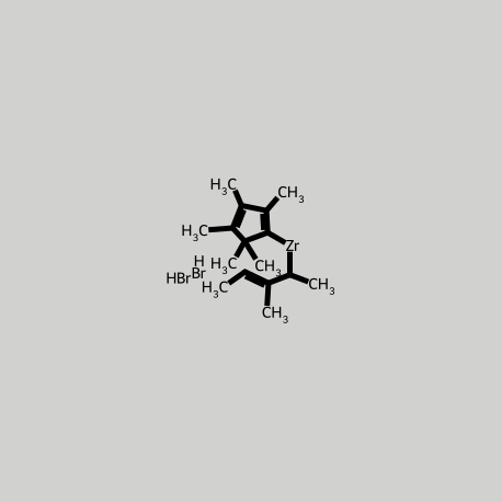 Br.Br.CC=C(C)[CH](C)[Zr][C]1=C(C)C(C)=C(C)C1(C)C